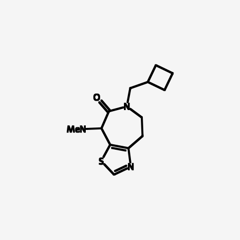 CNC1C(=O)N(CC2CCC2)CCc2ncsc21